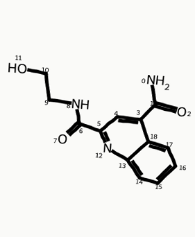 NC(=O)c1cc(C(=O)NCCO)nc2ccccc12